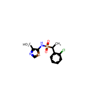 CC(c1ccccc1Cl)S(=O)(=O)Nc1scnc1C(=O)O